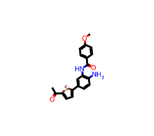 COc1ccc(C(=O)Nc2cc(-c3ccc(C(C)=O)s3)ccc2N)cc1